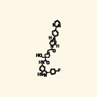 O=C(CN1CCC(CO)(C(=O)Nc2ccc3[nH]nc(-c4ccc(F)cc4)c3c2)C1)N1C[C@@H]2C[C@H]1CN2c1ccc(-c2ncccn2)cc1